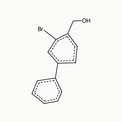 OCc1ccc(-c2ccccc2)cc1Br